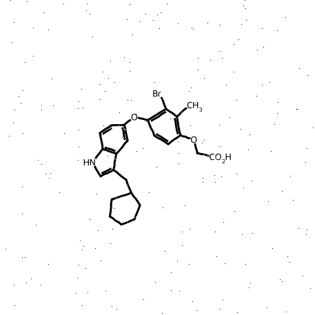 Cc1c(OCC(=O)O)ccc(Oc2ccc3[nH]cc(CC4CCCCC4)c3c2)c1Br